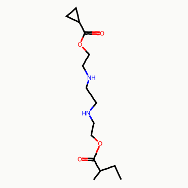 CCC(C)C(=O)OCCNCCNCCOC(=O)C1CC1